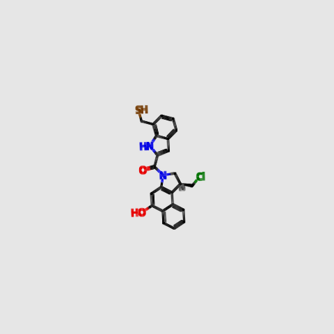 O=C(c1cc2cccc(CS)c2[nH]1)N1C[C@@H](CCl)c2c1cc(O)c1ccccc21